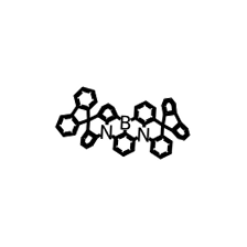 c1ccc2c(c1)-c1ccccc1C21c2ccccc2N2c3cccc4c3B(c3cccc1c32)c1cccc2c1N4c1ccccc1C21c2ccccc2-c2ccccc21